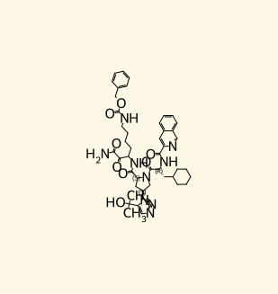 CC(C)(O)c1cnnn1[C@H]1C[C@@H](C(=O)NC(CCCCNC(=O)OCc2ccccc2)C(=O)C(N)=O)N(C(=O)[C@@H](CC2CCCCC2)NC(=O)c2cc3ccccc3cn2)C1